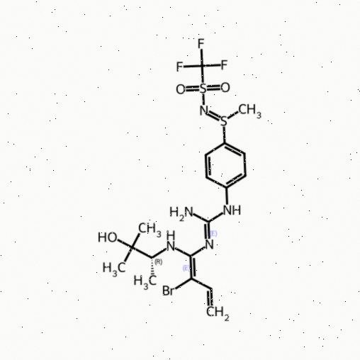 C=C/C(Br)=C(\N=C(/N)Nc1ccc(S(C)=NS(=O)(=O)C(F)(F)F)cc1)N[C@H](C)C(C)(C)O